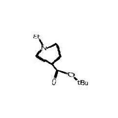 CCN1CCC(C(=O)OC(C)(C)C)CC1